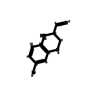 O=CC1COc2cc(Br)cnc2N1